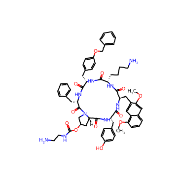 COc1cc2cccc(OC)c2cc1C[C@H]1NC(=O)[C@H](Cc2ccc(O)cc2)NC(=O)[C@@H]2C[C@@H](OC(=O)NCCN)CN2C(=O)[C@H](Cc2ccccc2)NC(=O)[C@H](Cc2ccc(OCc3ccccc3)cc2)NC(=O)[C@H](CCCCN)NC1=O